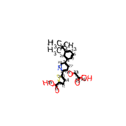 CC(C)(C)c1cccc(-c2cnc(-c3ccc(C(=O)O)s3)c(OCC(=O)O)c2)c1